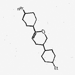 CCCC1CCC(C2=CCC(C3CCC(CC)CC3)CO2)CC1